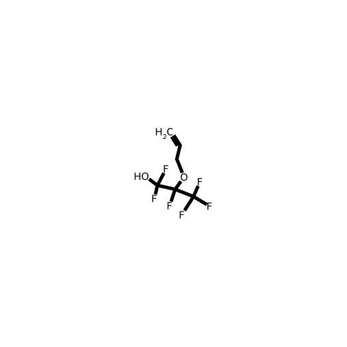 C=CCOC(F)(C(O)(F)F)C(F)(F)F